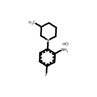 CC1CCCN(c2ccc(F)cc2N)C1.Cl